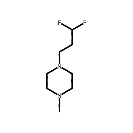 FC(F)CCN1CCN(I)CC1